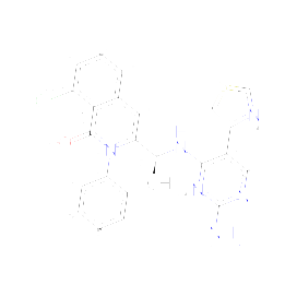 C[C@H](Nc1nc(N)ncc1-c1cscn1)c1cc2cccc(Cl)c2c(=O)n1-c1ccccc1